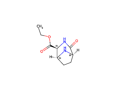 CCOC(=O)[C@H]1NC(=O)[C@H]2CC[C@@H]1N2